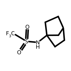 O=S(=O)(NC12CCC(CC1)C2)C(F)(F)F